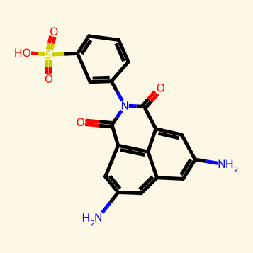 Nc1cc2c3c(cc(N)cc3c1)C(=O)N(c1cccc(S(=O)(=O)O)c1)C2=O